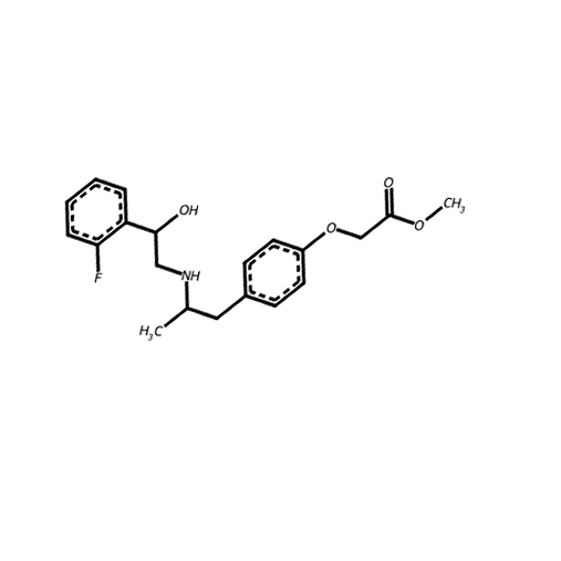 COC(=O)COc1ccc(CC(C)NCC(O)c2ccccc2F)cc1